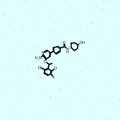 CC(Oc1cc(-c2ccc(C(=O)N[C@H]3CC[C@H](O)CC3)cc2)cnc1N)c1c(Cl)ccc(F)c1Cl